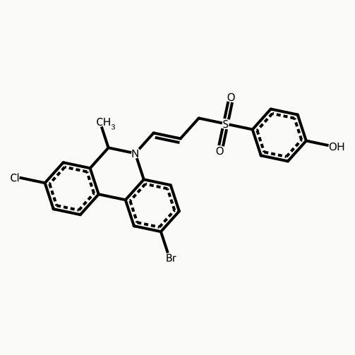 CC1c2cc(Cl)ccc2-c2cc(Br)ccc2N1C=CCS(=O)(=O)c1ccc(O)cc1